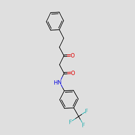 O=C(CCc1ccccc1)CC(=O)Nc1ccc(C(F)(F)F)cc1